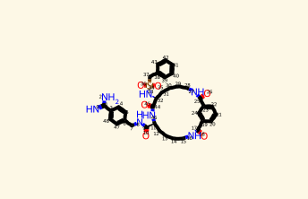 N=C(N)c1ccc(CNC(=O)[C@@H]2CCCCNC(=O)c3cccc(c3)C(=O)NCCCC[C@@H](NS(=O)(=O)Cc3ccccc3)C(=O)N2)cc1